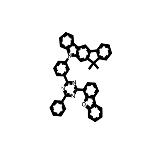 CC1(C)c2ccccc2-c2cc3c4ccccc4n(-c4cccc(-c5nc(-c6ccccc6)nc(-c6cccc7c6oc6ccccc67)n5)c4)c3cc21